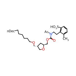 CCCCCCCCCCCCCCCCOC[C@H]1CO[C@H](COC(=O)N(CCc2c(C)cccc2S(=O)(=O)O)C(C)=O)C1